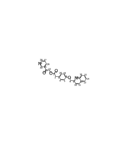 O=C(Cc1ccc(OCc2ccc3ccccc3n2)cc1)OCC(=O)c1cccnc1